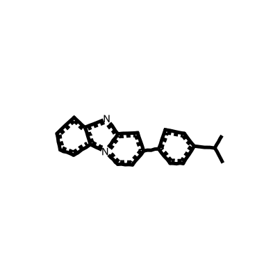 CC(C)c1ccc(-c2ccn3c(c2)nc2ccccc23)cc1